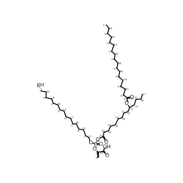 C=C(OP(=O)(OCCCCCCCCCCCCCCCC)OC(=O)CCCCCCCCC(CCCC)OC(=O)CCCCCCCCCCCCCCCCC)C(=O)O.[KH]